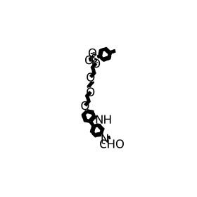 Cc1ccc(S(=O)(=O)OCCOCCOCCOc2ccc3c(c2)[nH]c2cc(N(C)C=O)ccc23)cc1